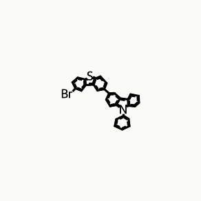 Brc1ccc2sc3ccc(-c4ccc5c(c4)c4ccccc4n5-c4ccccc4)cc3c2c1